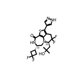 CC(C)(O)C[C@H]1N2C[C@H](C3CC(F)(F)C3)NC(=O)c3sc(-c4cn[nH]c4)c(c32)CC1(F)F